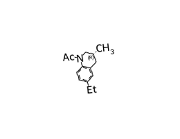 CCc1ccc2c(c1)C[C@@H](C)CN2C(C)=O